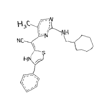 Cc1cnc(NCC2CCCCC2)nc1/C(C#N)=C1/NC(c2ccccc2)=CS1